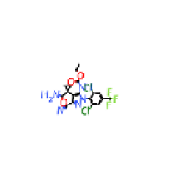 CCOC(=O)Nc1c(C2(C(N)=O)CC2)c(C#N)nn1-c1c(Cl)cc(C(F)(F)F)cc1Cl